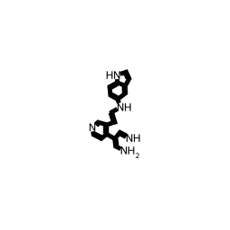 N=C/C(=C\N)c1ccncc1/C=C/Nc1ccc2[nH]ccc2c1